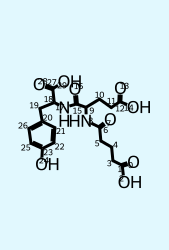 O=C(O)CCCC(=O)NC(CCC(=O)O)C(=O)NC(Cc1ccc(O)cc1)C(=O)O